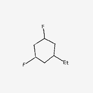 CCC1CC(F)CC(F)C1